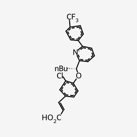 CCCC[C@@H](Oc1ccc(/C=C/C(=O)O)cc1Cl)c1cccc(-c2ccc(C(F)(F)F)cc2)n1